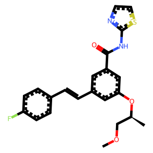 COC[C@H](C)Oc1cc(C=Cc2ccc(F)cc2)cc(C(=O)Nc2nccs2)c1